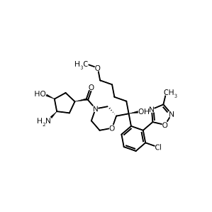 COCCCC[C@](O)(c1cccc(Cl)c1-c1nc(C)no1)[C@H]1CN(C(=O)[C@H]2C[C@@H](N)[C@@H](O)C2)CCO1